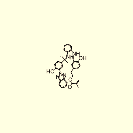 [CH2]C(C)(c1ccc(O)c(-n2nc3ccccc3n2)c1)N1c2ccccc2NN1c1cc(CCOC(=O)C(=C)C)ccc1O